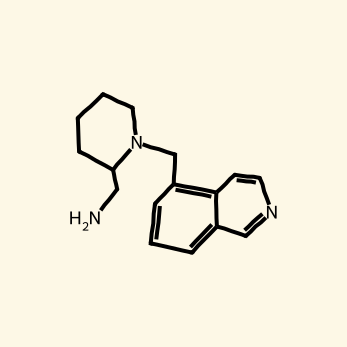 NCC1CCCCN1Cc1cccc2cnccc12